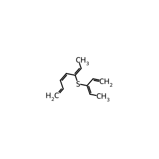 C=C/C=C\C(=C/C)S/C(C=C)=C/C